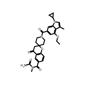 CCOc1cc(C(=O)N2CCC3(CC2)CC(=O)c2cc(C(=O)N(C)C(N)=O)ccc2O3)cc2c1c(C)cn2C1CC1